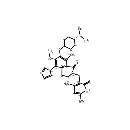 COc1c(O[C@H]2CC[C@H](N(C)C)CC2)c(C)c2c(c1-n1ccnc1)CCN(Cc1c(C)cc(C)[nH]c1=O)C2=O